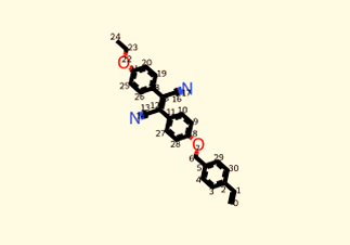 C=Cc1ccc(COc2ccc(C(C#N)=C(C#N)c3ccc(OCC)cc3)cc2)cc1